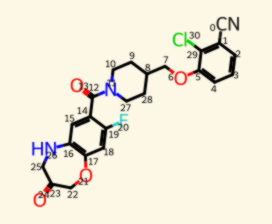 N#Cc1cccc(OCC2CCN(C(=O)c3cc4c(cc3F)OCC(=O)CN4)CC2)c1Cl